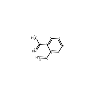 CC(=N)c1ccccc1C=N